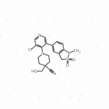 CN1c2ccc(-c3cncc(Cl)c3N3CCC(C#N)(CO)CC3)cc2CS1(=O)=O